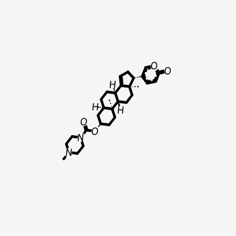 CN1CCN(C(=O)O[C@H]2CC[C@@]3(C)[C@H](CC[C@H]4C5=CC[C@H](c6ccc(=O)oc6)[C@@]5(C)CC[C@@H]43)C2)CC1